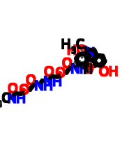 CNC(=O)COCC(=O)NCNC(=O)COCC(=O)N[C@H]1CC[C@@]2(O)C3Cc4ccc(O)c5c4[C@@]2(CCN3C)[C@H]1O5